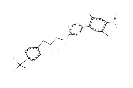 N[C@@H](CNc1nnc(-c2cc(F)c([N+](=O)[O-])cc2F)s1)Cc1ccc(C(F)(F)F)cc1